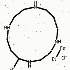 CCC1CCNCCNCCCNCCN1.C[CH2][Fe+].[Cl-]